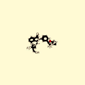 Cn1cnnc1C(F)C1(c2cccc(N3C(=O)c4cccc(C(F)(F)F)c4[C@@H]3CN3CC(C)(CO)C3)c2)COC1